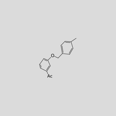 CC(=O)c1cccc(OCc2ccc(C)cc2)c1